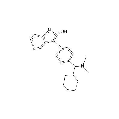 CN(C)C(c1ccc(-n2c(O)nc3ccccc32)cc1)C1CCCCC1